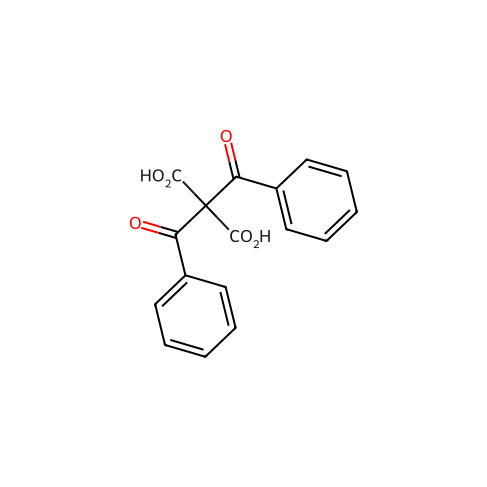 O=C(O)C(C(=O)O)(C(=O)c1ccccc1)C(=O)c1ccccc1